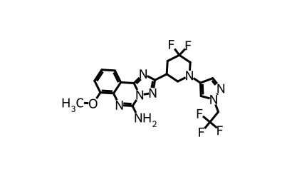 COc1cccc2c1nc(N)n1nc(C3CN(c4cnn(CC(F)(F)F)c4)CC(F)(F)C3)nc21